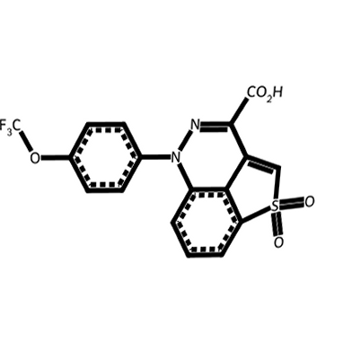 O=C(O)C1=NN(c2ccc(OC(F)(F)F)cc2)c2cccc3c2C1=CS3(=O)=O